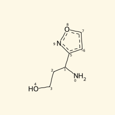 NC(CCO)c1[c]con1